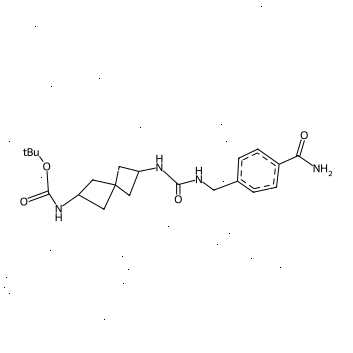 CC(C)(C)OC(=O)NC1CC2(CC(NC(=O)NCc3ccc(C(N)=O)cc3)C2)C1